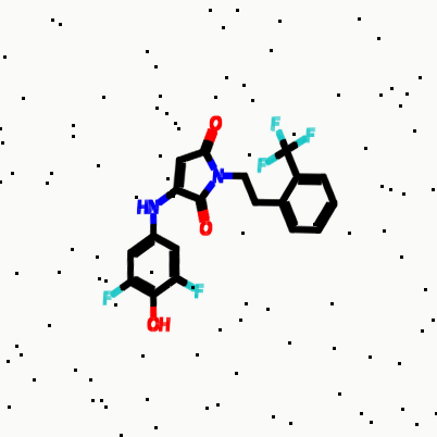 O=C1C=C(Nc2cc(F)c(O)c(F)c2)C(=O)N1CCc1ccccc1C(F)(F)F